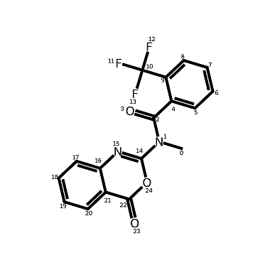 CN(C(=O)c1ccccc1C(F)(F)F)c1nc2ccccc2c(=O)o1